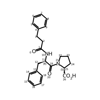 O=C(CCc1ccccc1)N[C@H](Cc1ccccc1)C(=O)N1CCC[C@H]1C(=O)O